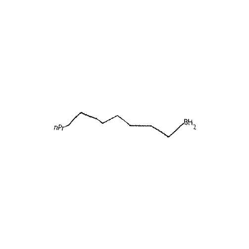 BCCCCCCCCC